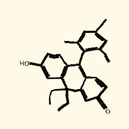 CCC1(CC)C2=CC(=O)C=CC2=C(c2c(C)cc(C)cc2C)c2ccc(O)cc21